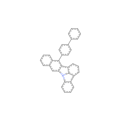 c1ccc(-c2ccc(-c3c4ccccc4cc4c3c3cccc5c6ccccc6n4c53)cc2)cc1